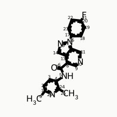 Cc1ccc(NC(=O)c2cncc3c2cnn3-c2ccc(F)cc2)c(C)n1